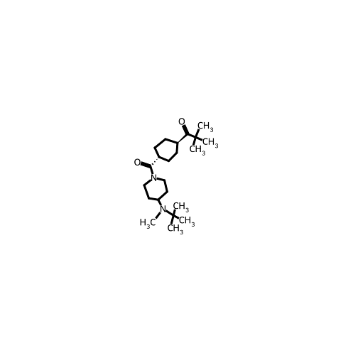 CN(C1CCN(C(=O)[C@H]2CC[C@H](C(=O)C(C)(C)C)CC2)CC1)C(C)(C)C